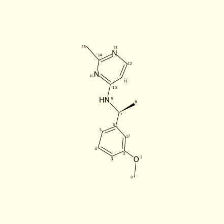 COc1cccc([C@H](C)Nc2ccnc(C)n2)c1